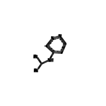 CCC(CC)Nc1[c]nncc1